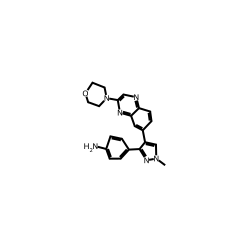 Cn1cc(-c2ccc3ncc(N4CCOCC4)nc3c2)c(-c2ccc(N)cc2)n1